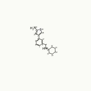 Nc1nc(-c2cccc(CNC3CCCCC3)c2)cs1